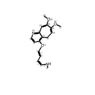 CN/C=C\C=C\Oc1ccnc2c1CC=C(OC)C(OC)=C2